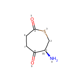 N[C@@H]1CSC(=O)CCC1=O